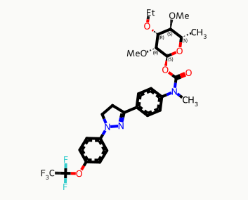 CCO[C@@H]1[C@@H](OC)[C@H](C)O[C@@H](OC(=O)N(C)c2ccc(C3=NN(c4ccc(OC(F)(F)C(F)(F)F)cc4)CC3)cc2)[C@@H]1OC